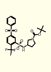 CC(C)(C)OC(=O)N1CC[C@@H](NS(=O)(=O)c2cc(S(=O)(=O)c3ccccc3)ccc2C(F)(F)F)C1